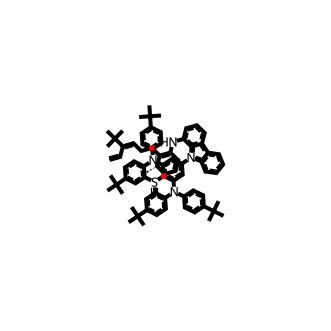 C=C/C(=C\CCC1=C(Nc2cccc3c4ccccc4n(-c4cc5c6c(c4)N(c4ccc(C(C)(C)C)cc4)c4ccc(C(C)(C)C)cc4[SH]6c4cc(C(C)(C)C)ccc4N5c4ccc(C(C)(C)C)cc4)c23)C=CC[C@@H]1C)C(C)(C)C